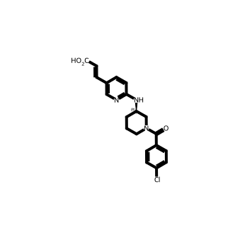 O=C(O)C=Cc1ccc(N[C@@H]2CCCN(C(=O)c3ccc(Cl)cc3)C2)nc1